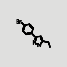 CCC1=CC(c2ccc(Br)cc2)=N[N]1